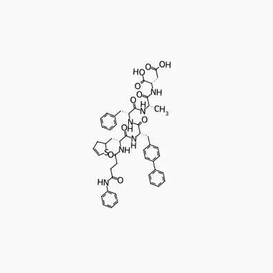 C[C@H](NC(=O)[C@@H](Cc1ccccc1)NC(=O)[C@H](Cc1ccc(-c2ccccc2)cc1)NC(=O)[C@@H](CC1CC=CS1)NC(=O)CCC(=O)Nc1ccccc1)C(=O)N[C@@H](CC(=O)O)C(=O)O